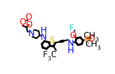 CP(C)(=O)c1ccc(NCC#Cc2sc3c(NC4CCN(CC5COC(=O)O5)CC4)cccc3c2CC(F)(F)F)c(OCF)c1